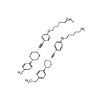 CCCCCCOc1ccc(C#C[C@H]2CC[C@H](c3ccc(C)cc3)CC2)cc1.CCCCCCOc1ccc(C#C[C@H]2CC[C@H](c3ccc(CC)cc3)CC2)cc1